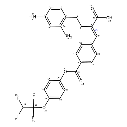 Nc1ccc(CC/C(=C\c2ccc(C(=O)Oc3ccc(OC(F)(F)C(F)F)cc3)cc2)C(=O)O)c(N)c1